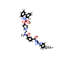 CCN(CCN1CCC(OC(=O)Nc2ccccc2-c2ccccc2)CC1)C(=O)c1cccc(C(=O)NCCNCc2ccc(OC)cc2)c1